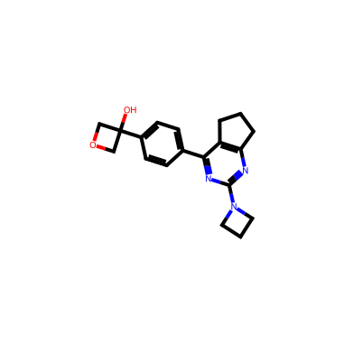 OC1(c2ccc(-c3nc(N4CCC4)nc4c3CCC4)cc2)COC1